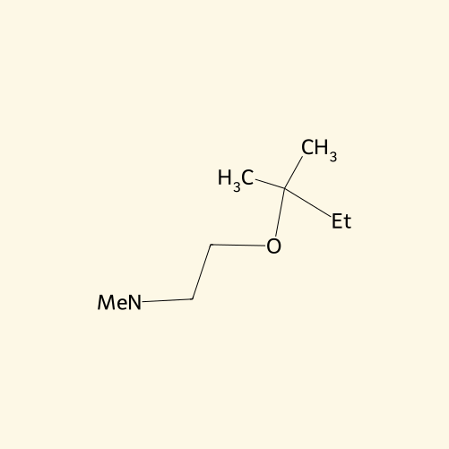 CCC(C)(C)OCCNC